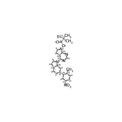 CCC(C)(C)C(=O)On1ccc2c(-n3ccc4ccc(-c5cc([N+](=O)[O-])ccc5C)cc43)ncnc21